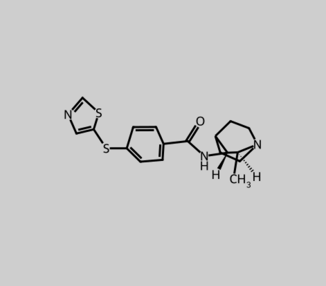 C[C@H]1[C@H](NC(=O)c2ccc(Sc3cncs3)cc2)C2CCN1CC2